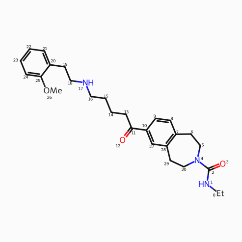 CCNC(=O)N1CCc2ccc(C(=O)CCCCNCCc3ccccc3OC)cc2CC1